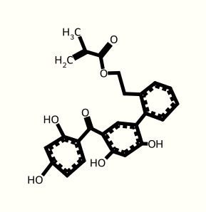 C=C(C)C(=O)OCCc1ccccc1-c1cc(C(=O)c2ccc(O)cc2O)c(O)cc1O